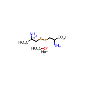 NC(CSSC[C@H](N)C(=O)O)C(=O)O.O=C([O-])O.[Na+]